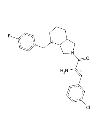 N/C(=C\c1cccc(Cl)c1)C(=O)N1CC2CCCN(Cc3ccc(F)cc3)C2C1